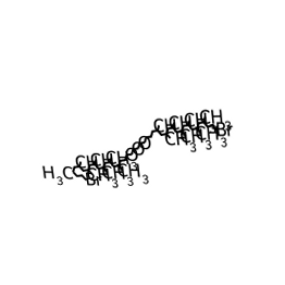 CC(CCCBr)CC(C)CC(C)CC(C)CC(C)CC(C)CC(C)CCCOCOCOCCCC(C)CC(C)CC(C)CC(C)CC(C)CC(C)CC(C)CCCBr